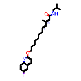 CC(/C=C/CCCCCCCOc1ccc2cc(I)ccc2n1)=C\C(=O)NCC(C)C